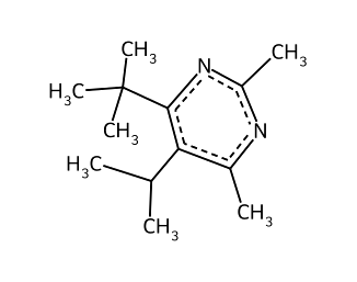 Cc1nc(C)c(C(C)C)c(C(C)(C)C)n1